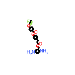 CC(F)(F)C(F)(F)Oc1ccc(C(=O)Oc2ccc(C=CC(=O)OCc3cc(N)ccc3N)cc2)cc1